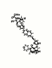 COC(=O)N[C@H](C(=O)N1[C@@H]2C[C@H]2C[C@H]1c1nc(-c2ccc3cc(C#Cc4c[nH]c([C@@H]5C[C@H]6C[C@H]6N5C(=O)[C@H](C5CCOCC5)N(C)C(=O)O)n4)ccc3c2)c[nH]1)C(C)C